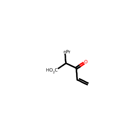 C=CC(=O)C(CCC)C(=O)O